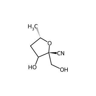 C[C@H]1CC(O)[C@@](C#N)(CO)O1